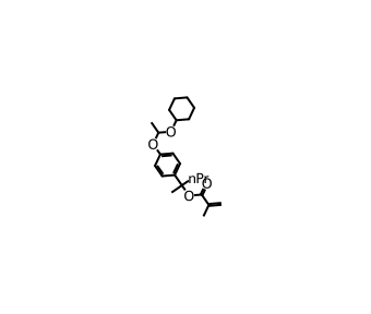 C=C(C)C(=O)OC(C)(CCC)c1ccc(OC(C)OC2CCCCC2)cc1